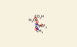 Cc1nc2cc(-c3nc(COc4ccc(OCC(=O)O)c(C)c4)sc3-c3cccc(OC(F)(F)F)c3)ccc2o1